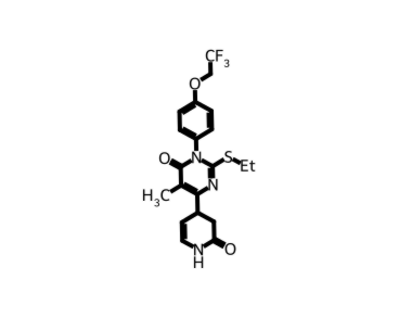 CCSc1nc(C2C=CNC(=O)C2)c(C)c(=O)n1-c1ccc(OCC(F)(F)F)cc1